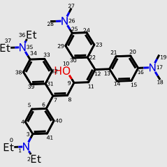 CCN(CC)c1ccc(C(=CC(O)C=C(c2ccc(N(C)C)cc2)c2ccc(N(C)C)cc2)c2ccc(N(CC)CC)cc2)cc1